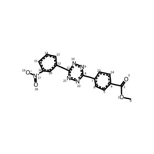 COC(=O)c1ccc(-c2nnc(-c3cccc([N+](=O)[O-])c3)nn2)cc1